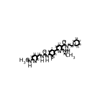 CCNc1nc(-c2ccc(NC(=O)NCc3ccc(NC)nc3)c(F)c2)ccc1C(=O)NCCN1CCCCC1